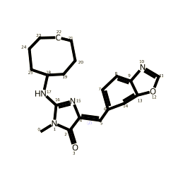 CN1C(=O)/C(=C/c2ccc3ncoc3c2)N=C1NC1CCCCCCC1